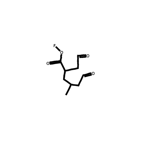 CC(CC=O)CC(CC=O)C(=O)OF